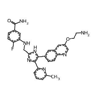 Cc1cccc(-c2nc(CNc3cc(C(N)=O)ccc3F)[nH]c2-c2ccc3ncc(OCCN)cc3c2)n1